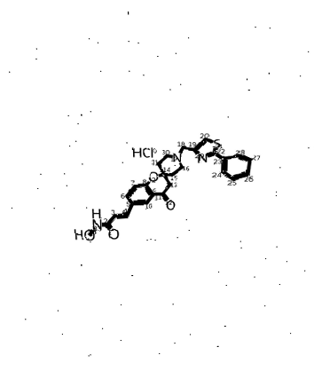 Cl.O=C(/C=C/c1ccc2c(c1)C(=O)CC1(CCN(Cc3csc(-c4ccccc4)n3)CC1)O2)NO